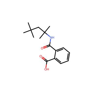 CC(C)(C)CC(C)(C)NC(=O)c1ccccc1C(=O)O